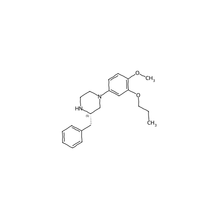 CCCOc1cc(N2CCN[C@@H](Cc3ccccc3)C2)ccc1OC